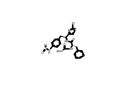 CCc1nc([C@H](Cc2ccc(N[SH](=O)=O)cc2)NC(=O)[C@H](Cc2ccccc2)NC(=O)OC)cs1